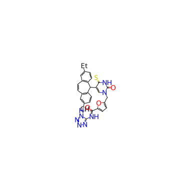 CCc1ccc2c(c1)C=Cc1cc(C)ccc1C2c1cn(Cc2ccc(C(=O)Nc3nnn[nH]3)o2)c(=O)[nH]c1=S